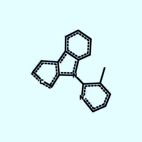 Cc1cccnc1-n1c2ccccc2c2ccccc21